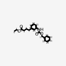 CCOC(=O)CCCc1cccc(NC(=O)OCc2ccccc2)c1